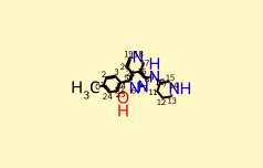 Cc1ccc(-c2nnc(N[C@@H]3CCCNC3)c3cnccc23)c(O)c1